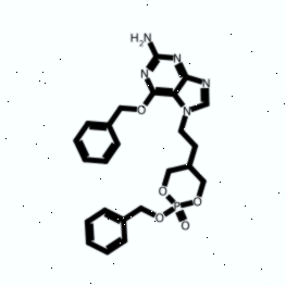 Nc1nc(OCc2ccccc2)c2c(ncn2CCC2COP(=O)(OCc3ccccc3)OC2)n1